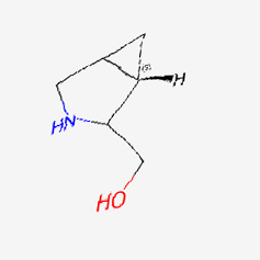 OCC1NCC2C[C@@H]21